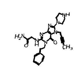 CC#CCn1c(N2CCNCC2)nc2nc(NCC(N)=O)n(CCc3ccccc3)c(=O)c21